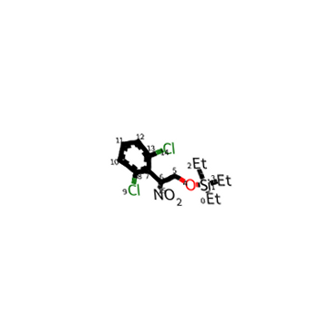 CC[Si](CC)(CC)OCC(c1c(Cl)cccc1Cl)[N+](=O)[O-]